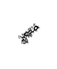 CCC(c1nc(/C=c2\[nH]c(=O)/c(=C/c3cccc(F)c3)[nH]c2=O)c(C(C)C)[nH]1)C1COCCN1